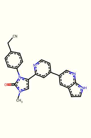 Cn1cc(-c2cc(-c3cnc4[nH]ccc4c3)ccn2)n(-c2ccc(CC#N)cc2)c1=O